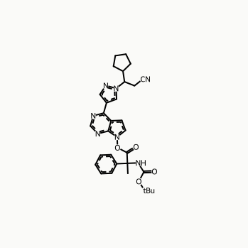 CC(C)(C)OC(=O)NC(C)(C(=O)On1ccc2c(-c3cnn(C(CC#N)C4CCCC4)c3)ncnc21)c1ccccc1